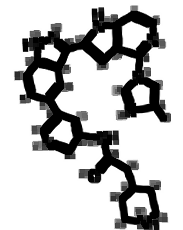 Cc1cn(-c2nccc3[nH]c(-c4n[nH]c5ccc(-c6cncc(NC(=O)CC7CCNCC7)c6)cc45)cc23)cn1